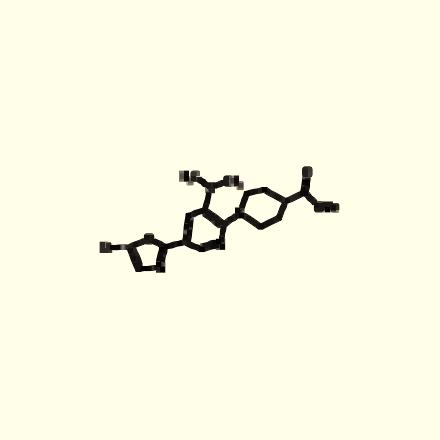 CCc1cnc(-c2cnc(N3CCC(C(=O)OC)CC3)c(N(C)C)c2)o1